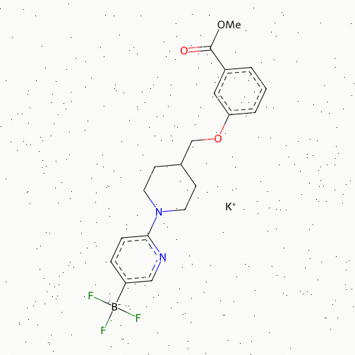 COC(=O)c1cccc(OCC2CCN(c3ccc([B-](F)(F)F)cn3)CC2)c1.[K+]